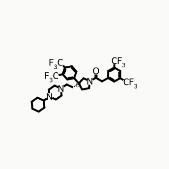 O=C(Cc1cc(C(F)(F)F)cc(C(F)(F)F)c1)N1CC[C@@](CCN2CCN(C3CCCCC3)CC2)(c2ccc(C(F)(F)F)c(C(F)(F)F)c2)C1